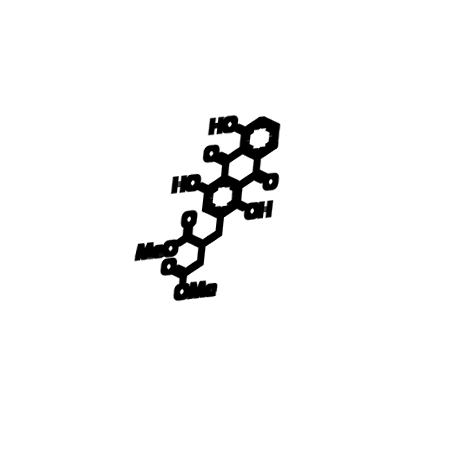 COC(=O)CC(Cc1cc(O)c2c(c1O)C(=O)c1cccc(O)c1C2=O)C(=O)OC